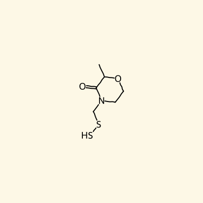 CC1OCCN(CSS)C1=O